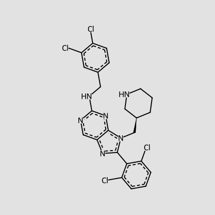 Clc1ccc(CNc2ncc3nc(-c4c(Cl)cccc4Cl)n(C[C@@H]4CCCNC4)c3n2)cc1Cl